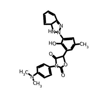 Cc1cc(C2OC(=O)N(c3ccc(N(C)C)cc3)C2=O)c(O)c(N2N=C3C=CC=CC3N2)c1